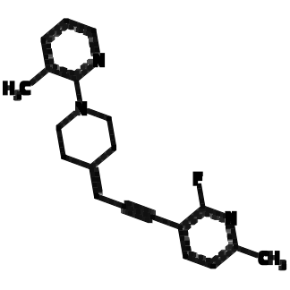 Cc1ccc(C#CC=C2CCN(c3ncccc3C)CC2)c(F)n1